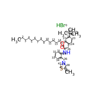 Br.CCCCCCCCCCCCCCOc1cc(C(C)(C)C)ccc1CC(=O)Nc1ccccc1CN1C=C(C)SC1